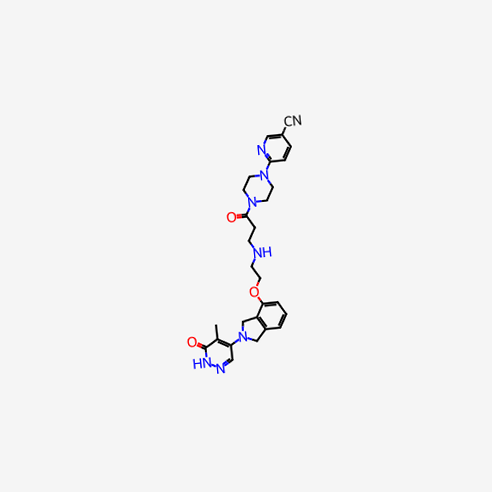 Cc1c(N2Cc3cccc(OCCNCCC(=O)N4CCN(c5ccc(C#N)cn5)CC4)c3C2)cn[nH]c1=O